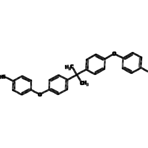 CC(C)(c1ccc(Oc2ccc(S)cc2)cc1)c1ccc(Oc2ccc(S)cc2)cc1